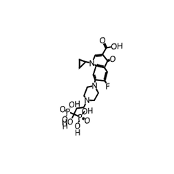 O=C(O)c1cn(C2CC2)c2cc(N3CCN(CCC(O)(P(=O)(O)O)P(=O)(O)O)CC3)c(F)cc2c1=O